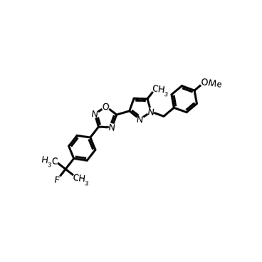 COc1ccc(Cn2nc(-c3nc(-c4ccc(C(C)(C)F)cc4)no3)cc2C)cc1